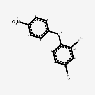 O=[N+]([O-])c1ccc(Oc2ccc(F)cc2F)cc1